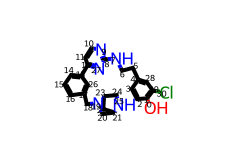 Oc1ccc(CCNc2nccc(-c3cccc(CN4CC5CC4CN5)c3)n2)cc1Cl